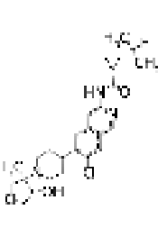 CC(C)(F)[C@H]1C[C@@H]1C(=O)Nc1cc2cc(C3CCN([C@]4(C)COC[C@@H]4O)CC3)c(Cl)cc2cn1